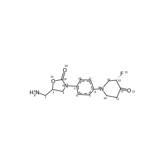 NCC1CN(c2ccc(N3CCC(=O)[C@@H](F)C3)cc2)C(=O)O1